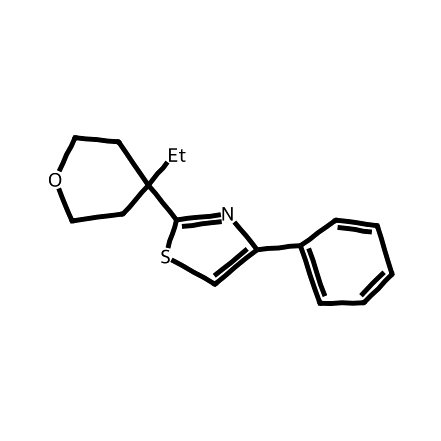 CCC1(c2nc(-c3ccccc3)cs2)CCOCC1